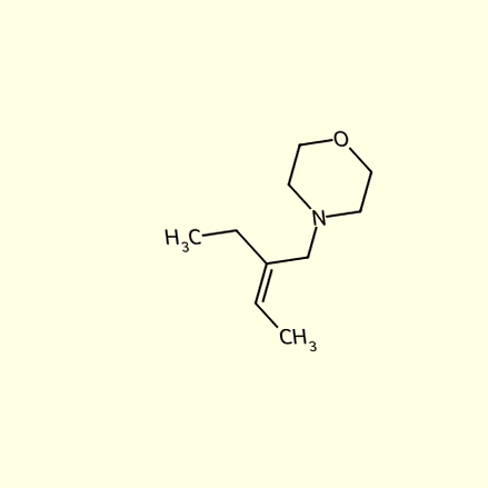 C/C=C(/CC)CN1CCOCC1